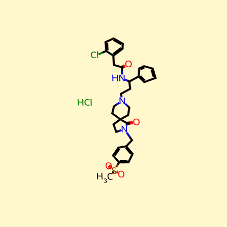 CS(=O)(=O)c1ccc(CN2CCC3(CCN(CCC(NC(=O)Cc4ccccc4Cl)c4ccccc4)CC3)C2=O)cc1.Cl